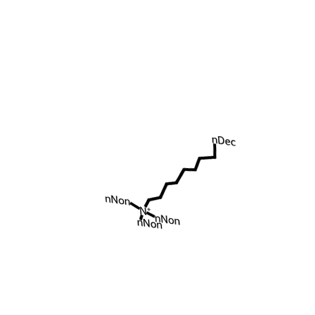 CCCCCCCCCCCCCCCCCC[N+](CCCCCCCCC)(CCCCCCCCC)CCCCCCCCC